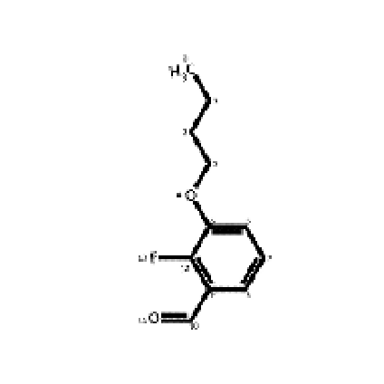 CCCCOc1cccc(C=O)c1F